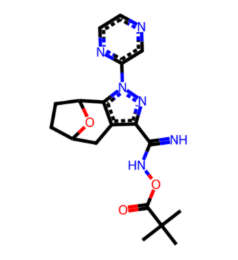 CC(C)(C)C(=O)ONC(=N)c1nn(-c2cnccn2)c2c1CC1CCC2O1